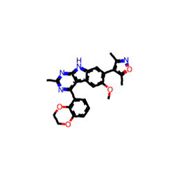 COc1cc2c(cc1-c1c(C)noc1C)[nH]c1nc(C)nc(-c3cccc4c3OCCO4)c12